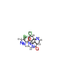 Cc1nn(C)c(C(=O)N2CCN3C(=O)c4ccncc4C32c2ccc(Cl)cc2)c1Br